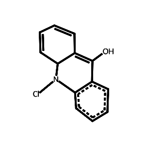 OC1=C2C=CC=CC2N(Cl)c2ccccc21